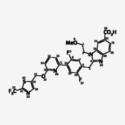 COCCn1c(Cc2cc(F)c(-c3cccc(OCc4cnc(C(F)(F)F)s4)n3)cc2F)nc2ccc(C(=O)O)cc21